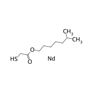 CC(C)CCCCCOC(=O)CS.[Nd]